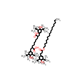 CC(C)(C)c1cc(CC(CCCCCCC(Cc2cc(C(C)(C)C)c(O)c(C(C)(C)C)c2)C(=O)O)C(=O)O)cc(C(C)(C)C)c1O.CCCCCCCCCCCCCCCCCCOC(=O)CCc1cc(C(C)(C)C)c(O)c(C(C)(C)C)c1